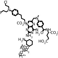 CC(=O)[O-].CC(=O)[O-].CN(Cc1cnc2nc(N)nc(N)c2n1)c1ccc(C(=O)N[C@@H](CCC(=O)O)C(=O)O)cc1.N.NC1CCCCC1.O=C(O)CCCc1ccc(N(CCCl)CCCl)cc1.[Cl-].[Cl-].[Pt+4]